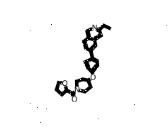 CCc1cc2cc(-c3ccc(OC4CCN(C(=O)C5CCCO5)CC4)cc3)ccc2cn1